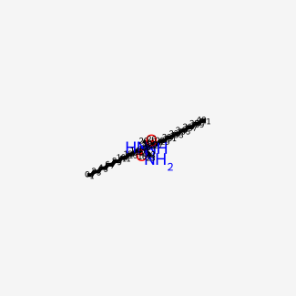 CCCCCCCCCCCCCCCC(=O)NC(CC)(CCN)NC(=O)CCCCCCCCCCCCCCC